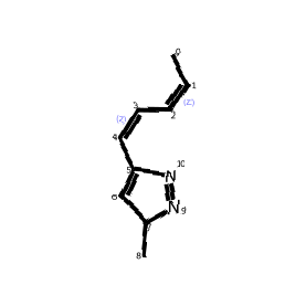 C/C=C\C=C/C1=CC(C)N=N1